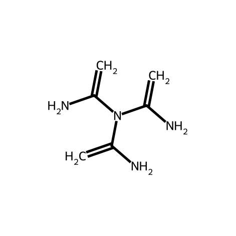 C=C(N)N(C(=C)N)C(=C)N